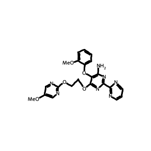 COc1cnc(OCCOc2nc(-c3ncccn3)nc(N)c2Oc2ccccc2OC)nc1